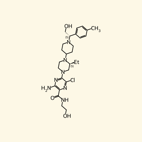 CC[C@H]1CN(c2nc(N)c(C(=O)NCCO)nc2Cl)CCN1C1CCN([C@H](CO)c2ccc(C)cc2)CC1